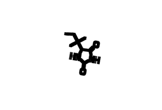 CCC(C)(C)C1NC(=O)NC1=O